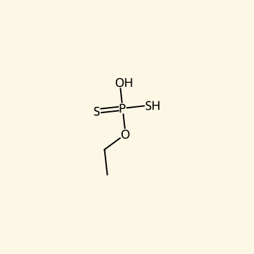 CCOP(O)(=S)S